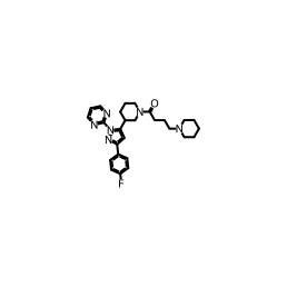 O=C(CCCN1CCCCC1)N1CCCC(c2cc(-c3ccc(F)cc3)nn2-c2ncccn2)C1